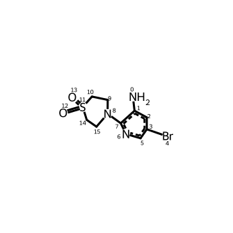 Nc1cc(Br)cnc1N1CCS(=O)(=O)CC1